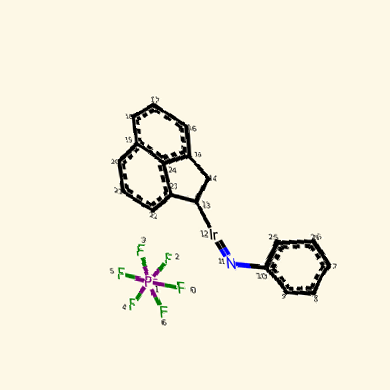 F[P-](F)(F)(F)(F)F.c1ccc([N]=[Ir][CH]2Cc3cccc4cccc2c34)cc1